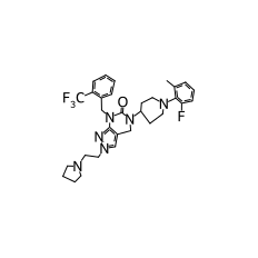 Cc1cccc(F)c1N1CCC(N2Cc3cn(CCN4CCCC4)nc3N(Cc3ccccc3C(F)(F)F)C2=O)CC1